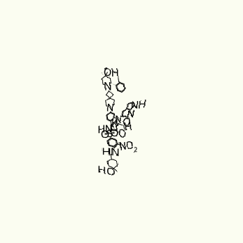 Cc1ccccc1[C@H]1C[C@](C)(O)CCN1C1CC2(CCN(c3ccc(C(=O)NS(=O)(=O)c4ccc(NCC5CCC(C)(O)CC5)c([N+](=O)[O-])c4)c(N4c5cc6cc[nH]c6nc5O[C@H]5COCC[C@@H]54)c3)CC2)C1